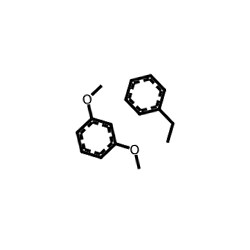 CCc1ccccc1.COc1cccc(OC)c1